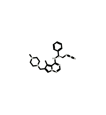 Cc1c(CN2CCN(C)CC2)cn2ncnc(N[C@H](CN=[N+]=[N-])c3ccccc3)c12